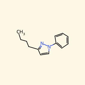 CCCCc1ccn(-c2ccccc2)n1